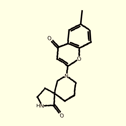 Cc1ccc2oc(N3CCCC4(CCNC4=O)C3)cc(=O)c2c1